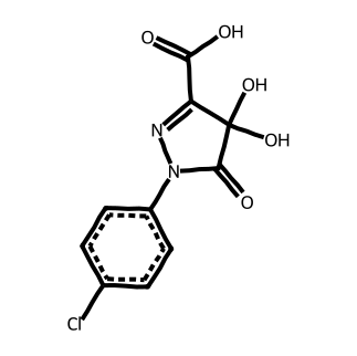 O=C(O)C1=NN(c2ccc(Cl)cc2)C(=O)C1(O)O